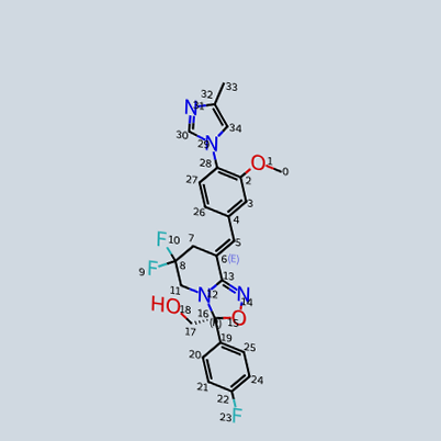 COc1cc(/C=C2\CC(F)(F)CN3C2=NO[C@@]3(CO)c2ccc(F)cc2)ccc1-n1cnc(C)c1